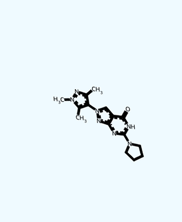 Cc1nn(C)c(C)c1-n1cc2c(=O)[nH]c(N3CCCC3)nc2n1